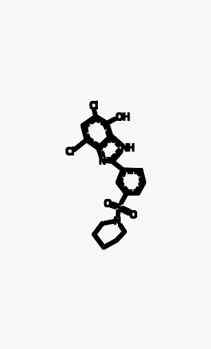 O=S(=O)(c1cccc(-c2nc3c(Cl)cc(Cl)c(O)c3[nH]2)c1)N1CCCCC1